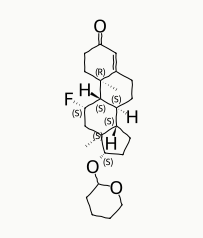 C[C@]12C[C@H](F)[C@H]3[C@@H](CCC4=CC(=O)CC[C@@]43C)[C@@H]1CC[C@@H]2OC1CCCCO1